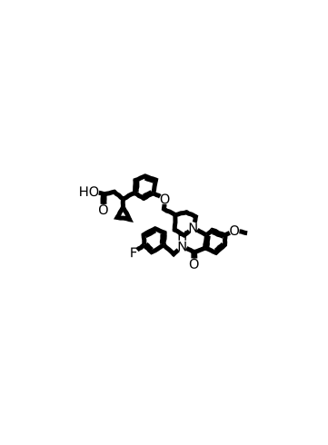 COc1ccc(C(=O)NCc2cccc(F)c2)c(N2CCC(COc3cccc(C(CC(=O)O)C4CC4)c3)CC2)c1